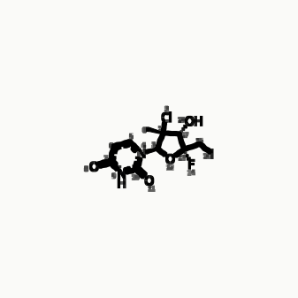 C[C@]1(Cl)[C@H](n2ccc(=O)[nH]c2=O)O[C@](F)(CI)[C@H]1O